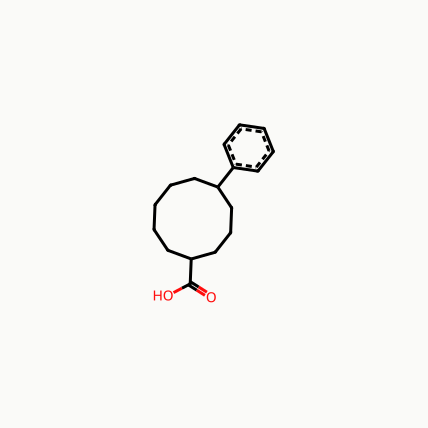 O=C(O)C1CCCCCC(c2ccccc2)CCC1